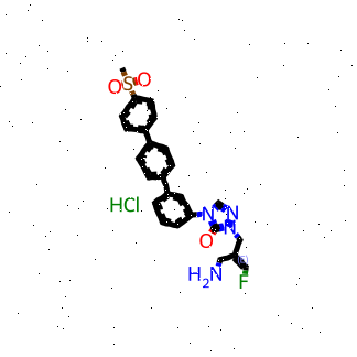 CS(=O)(=O)c1ccc(-c2ccc(-c3cccc(-n4cnn(C/C(=C/F)CN)c4=O)c3)cc2)cc1.Cl